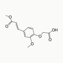 COC(=O)/C=C/c1ccc(OCC(=O)O)c(OC)c1